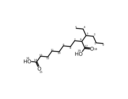 CCCC(CC)C(CCCCCCCC(=O)O)C(=O)O